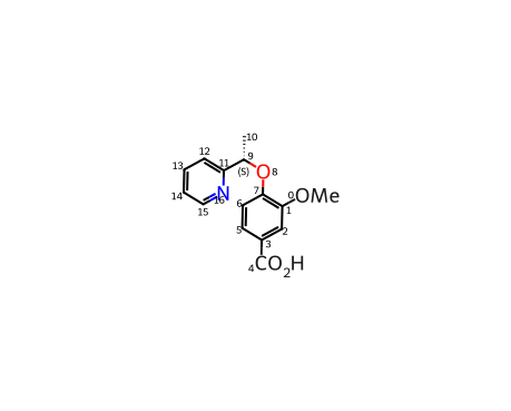 COc1cc(C(=O)O)ccc1O[C@@H](C)c1ccccn1